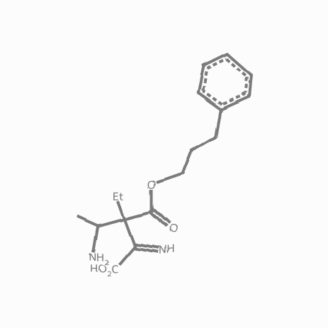 CCC(C(=N)C(=O)O)(C(=O)OCCCc1ccccc1)C(C)N